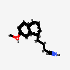 COc1ccc2cccc(CCCC#N)c2c1